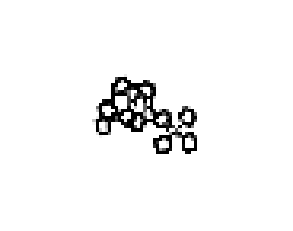 c1ccc(-c2cccc(-n3c4c(-c5ccccc5)cccc4c4cccc(-n5c6ccccc6c6cc([Si](c7ccccc7)(c7ccccc7)c7ccccc7)ccc65)c43)c2)cc1